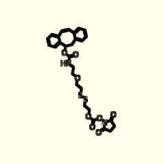 O=C(NCCOCCSSCCOC(=O)ON1C(=O)CCC1=O)OC1Cc2ccccc2/C=C\c2ccccc21